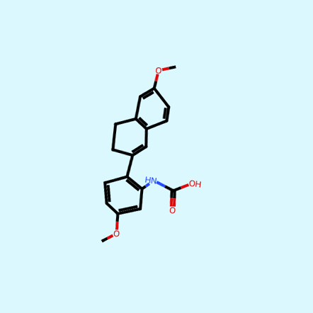 COc1ccc2c(c1)CCC(c1ccc(OC)cc1NC(=O)O)=C2